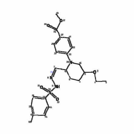 CCOC1CCC(/C=N\NS(=O)(=O)c2ccc(C)cc2)N(c2ccc(C(=O)OC)cc2)C1